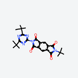 CC(C)(C)c1nc(-n2c(=O)c3cc4c(=O)n(C(C)(C)C)c(=O)c4cc3c2=O)nc(C(C)(C)C)n1